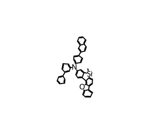 C[Si]1(C)c2cc(N(c3ccc(-c4ccc5ccccc5c4)cc3)c3cccc(-c4ccccc4)c3)ccc2-c2c1ccc1c2oc2ccccc21